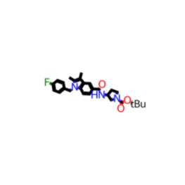 Cc1c(C)n(Cc2ccc(F)cc2)c2ccc(C(=O)NC3CCN(C(=O)OC(C)(C)C)C3)cc12